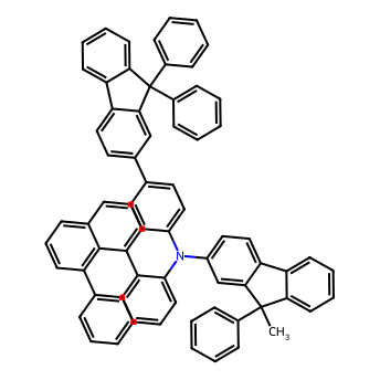 CC1(c2ccccc2)c2ccccc2-c2ccc(N(c3ccc(-c4ccc5c(c4)C(c4ccccc4)(c4ccccc4)c4ccccc4-5)cc3)c3ccccc3-c3cccc4cccc(-c5ccccc5)c34)cc21